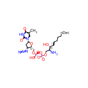 CCCCCCCCCCCCC/C=C/[C@@H](O)[C@@H](N)COP(=O)(O)OP(=O)(O)OC[C@H]1O[C@@H](n2cc(C)c(=O)[nH]c2=O)C[C@H]1N=[N+]=[N-]